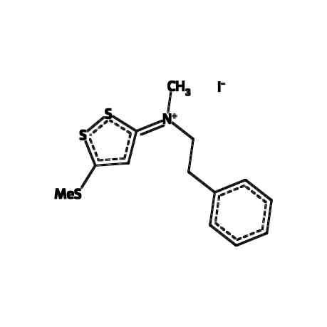 CSc1cc(=[N+](C)CCc2ccccc2)ss1.[I-]